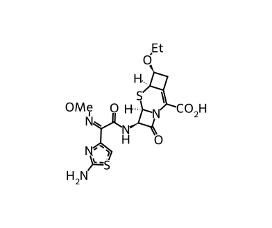 CCO[C@H]1CC2=C(C(=O)O)N3C(=O)[C@@H](NC(=O)/C(=N\OC)c4csc(N)n4)[C@H]3S[C@H]21